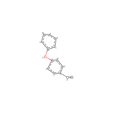 O=Cc1ccc(Oc2cc[c]cc2)cc1